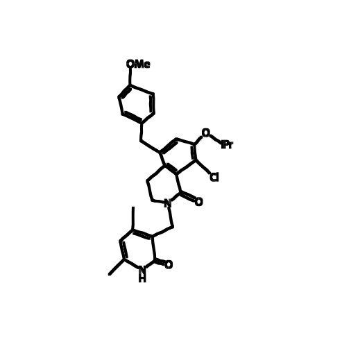 COc1ccc(Cc2cc(OC(C)C)c(Cl)c3c2CCN(Cc2c(C)cc(C)[nH]c2=O)C3=O)cc1